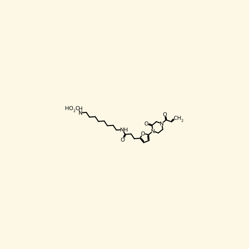 C=CC(=O)N1CCN(c2ccc(CCC(=O)NCCCCCCCCNC(=O)O)o2)C(=O)C1